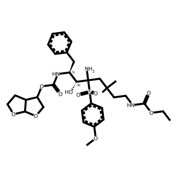 CCOC(=O)NCCC(C)(C)CC(N)([C@H](O)[C@H](Cc1ccccc1)NC(=O)OC1COC2OCCC12)S(=O)(=O)c1ccc(OC)cc1